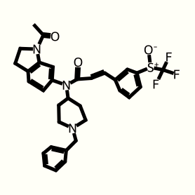 CC(=O)N1CCc2ccc(N(C(=O)/C=C/c3cccc([S+]([O-])C(F)(F)F)c3)C3CCN(Cc4ccccc4)CC3)cc21